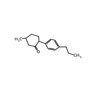 CCCc1ccc(C2CCC(C)CC2=O)cc1